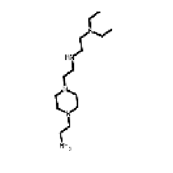 CCN(CC)CCNCCN1CCN(CCN)CC1